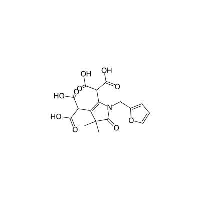 CC1(C)C(=O)N(Cc2ccco2)C(C(C(=O)O)C(=O)O)=C1C(C(=O)O)C(=O)O